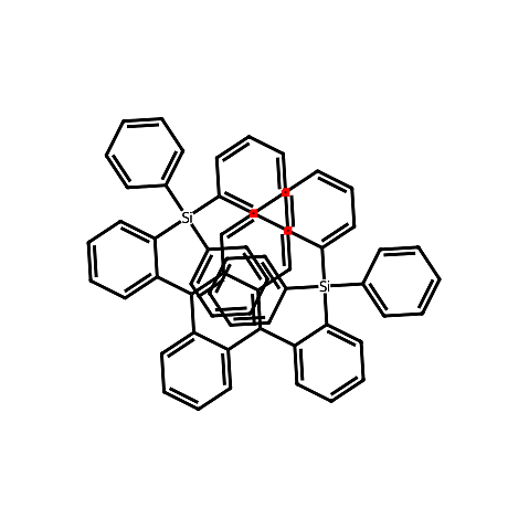 c1ccc([Si](c2ccccc2)(c2ccccc2)c2ccccc2-c2c3ccccc3c(-c3ccccc3[Si](c3ccccc3)(c3ccccc3)c3ccccc3)c3ccccc23)cc1